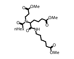 CCCCCCC(=O)N(CCC(=O)OC)C(CCCC(=O)OC)C(=O)NCCCCCC(=O)OC